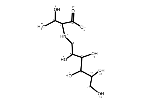 CC(O)C(NCC(O)C(O)C(O)C(O)CO)C(=O)O